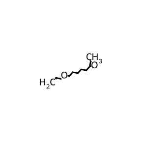 C=CCOCCCCCC1OC1C